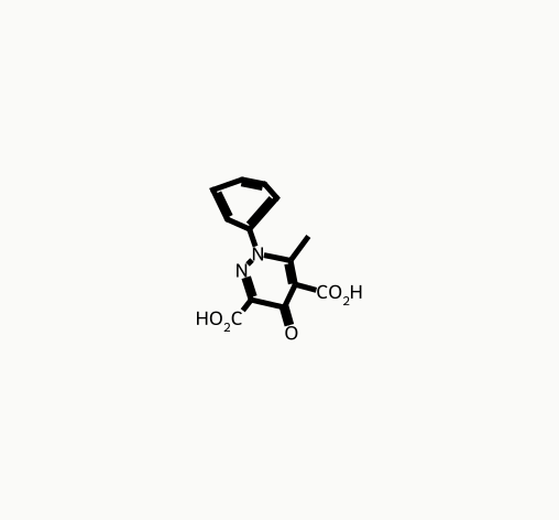 Cc1c(C(=O)O)c(=O)c(C(=O)O)nn1-c1ccccc1